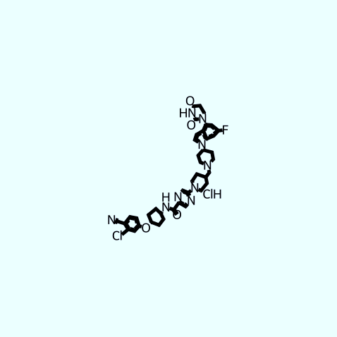 Cl.N#Cc1ccc(OC2CCC(NC(=O)c3cnc(N4CCC(CN5CCC(n6ccc7c(N8CCC(=O)NC8=O)cc(F)cc76)CC5)CC4)cn3)CC2)cc1Cl